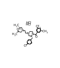 Cc1cc(C(=O)N2CCN(CCN3C[C@@H](C)O[C@@H](C)C3)C[C@H]2Cc2ccc(Cl)cc2)cc(C(F)(F)F)c1.Cl.Cl